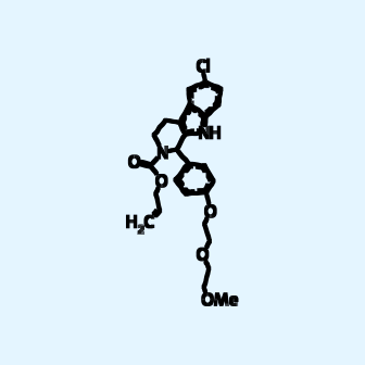 C=CCOC(=O)N1CCc2c([nH]c3ccc(Cl)cc23)C1c1ccc(OCCOCCOC)cc1